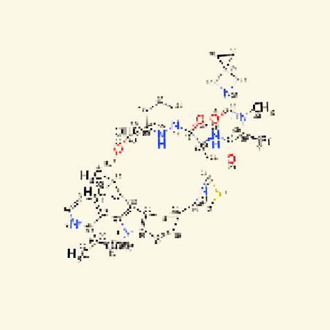 CCn1c(-c2cccnc2[C@H](C)OC)c2c3cc(ccc31)-c1csc(n1)C[C@H](NC(=O)[C@H](C(C)C)N(C)C(=O)N1CC3(CC3)C1)C(=O)N1CCC[C@](C=O)(COCC(C)(C)C2)N1